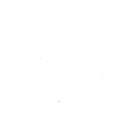 CCCC=CCc1ccccc1.Cc1ccc(C(=O)O)cc1C(=O)O